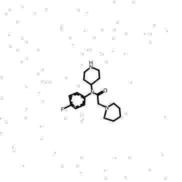 O=C(CN1CCCCC1)N(c1ccc(F)cc1)C1CCNCC1